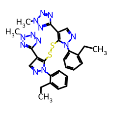 CCc1ccccc1-n1ncc(-c2nnn(C)n2)c1SSc1c(-c2nnn(C)n2)cnn1-c1ccccc1CC